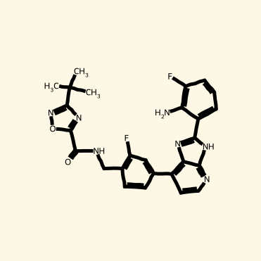 CC(C)(C)c1noc(C(=O)NCc2ccc(-c3ccnc4[nH]c(-c5cccc(F)c5N)nc34)cc2F)n1